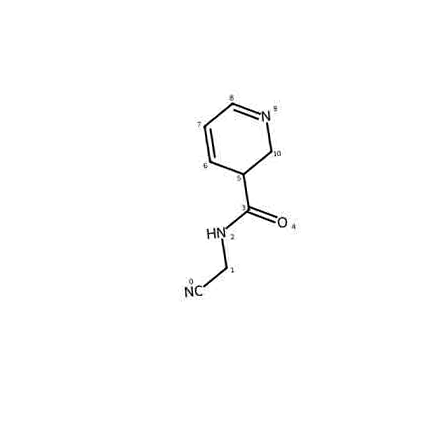 N#CCNC(=O)C1C=CC=NC1